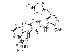 COc1ccc(OC2CCN(C(C)C)CC2)cc1Nc1ncc(Br)c(Nc2ccccc2S(=O)(=O)NC(C)C)n1